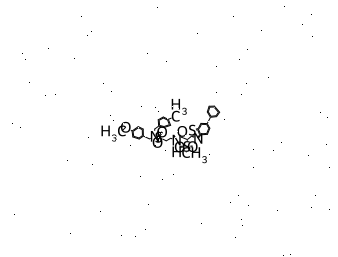 COc1ccc(CN(Cc2ccc(C)cc2)S(=O)(=O)CCNC(=O)C(c2nc3ccc(-c4ccccc4)cc3s2)S(C)(=O)=O)cc1